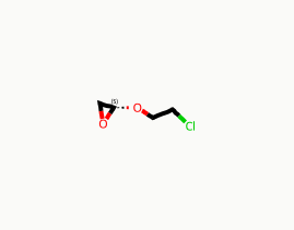 ClCCO[C@H]1CO1